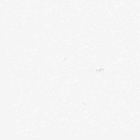 CCOC(=O)c1c(CSc2ccccc2)n(C)c2ccc(O)c(CN3CCCC3)c12.Cl